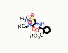 CS(=O)(=O)CC(NC(=O)c1ccccc1C(=O)O)C(=O)NCC#N